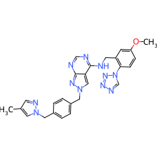 COc1ccc(-n2cnnn2)c(CNc2ncnc3nn(Cc4ccc(Cn5cc(C)cn5)cc4)cc23)c1